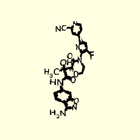 C[C@](O)(C(=O)Nc1ccc2c(N)noc2c1)[C@H]1OCCN(c2nn(-c3ccnc(C#N)c3)cc2F)C1=O